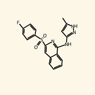 Cc1cc(Nc2nc(S(=O)(=O)c3ccc(F)cc3)cc3ccccc23)n[nH]1